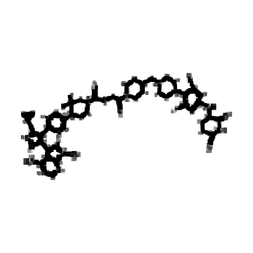 CC1(C)CN(C(=O)OCC(=O)N2CCC(CN3CCN(c4c(F)cc(NC5CCC(=O)NC5=O)cc4F)CC3)CC2)CC[C@H]1c1cnc(-c2c(-c3nn(C(C)(C)C)c4ncnc(N)c34)noc2C2CC2)nc1